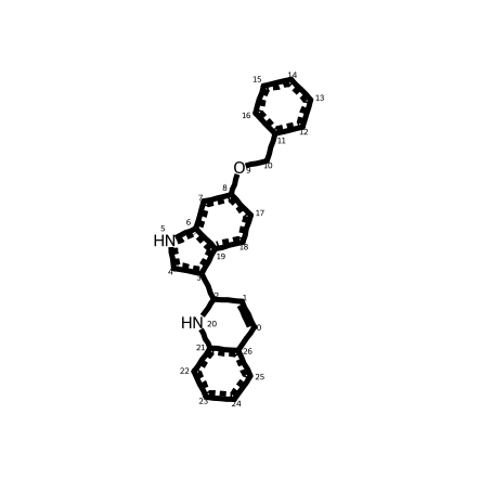 C1=CC(c2c[nH]c3cc(OCc4ccccc4)ccc23)Nc2ccccc21